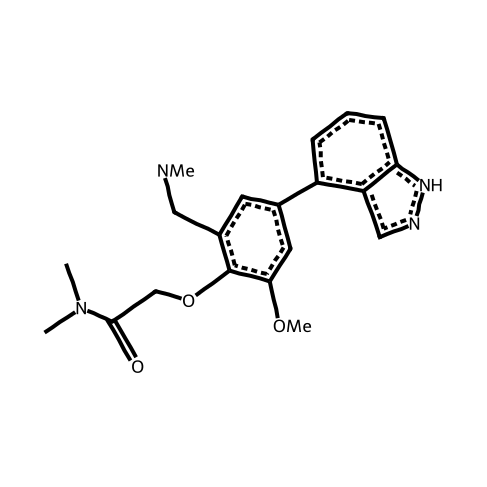 CNCc1cc(-c2cccc3[nH]ncc23)cc(OC)c1OCC(=O)N(C)C